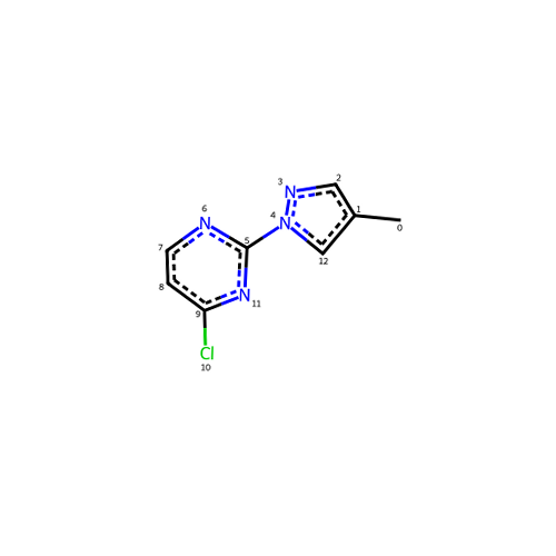 Cc1cnn(-c2nccc(Cl)n2)c1